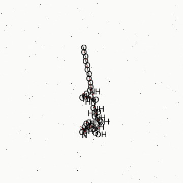 CC[C@H](C)[C@H](NC(=O)C(C)(C)N(C)C)C(=O)N(C)[C@H](C[C@@H](OC(C)=O)c1nc(C(=O)N[C@@H](Cc2ccc(O)c(NC(=O)CNC(=O)CNC(=O)CNC(=O)CCCNC(=O)[C@H](CCCCNC(=O)COCCOCCOCCOCCOCCOCCOCCOCCOCCOC)NC(=O)CCCN3C(=O)C=CC3=O)c2)C[C@H](C)C(=O)O)cs1)C(C)C